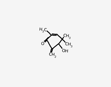 C=C1C(=O)C(C)=CC(C)(C)C1O